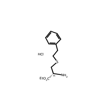 CCOC(=O)[C@@H](N)CSCCc1ccccc1.Cl